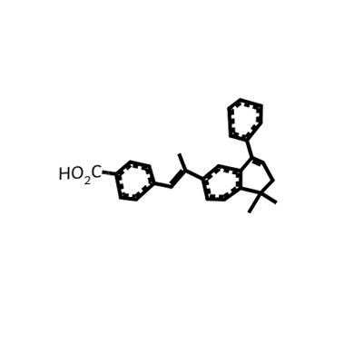 C/C(=C\c1ccc(C(=O)O)cc1)c1ccc2c(c1)C(c1ccccc1)=CCC2(C)C